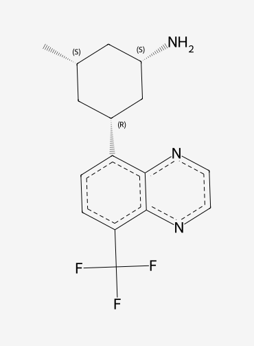 C[C@@H]1C[C@H](N)C[C@H](c2ccc(C(F)(F)F)c3nccnc23)C1